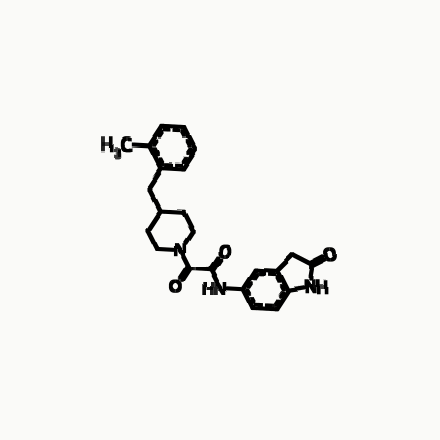 Cc1ccccc1CC1CCN(C(=O)C(=O)Nc2ccc3c(c2)CC(=O)N3)CC1